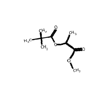 COC(=O)C(C)OC(=O)C(C)(C)C